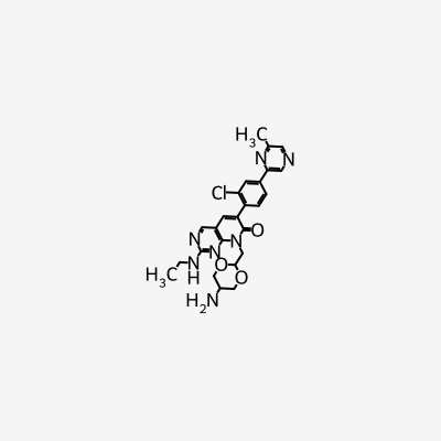 CCNc1ncc2cc(-c3ccc(-c4cncc(C)n4)cc3Cl)c(=O)n(CC3OCC(N)CO3)c2n1